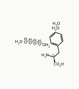 N[C@@H](Cc1ccccc1)C(=O)O.O.O.O.O.O.O.O.O